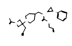 C=CCOC(=O)N(CC1CCN(C2(CC#N)CN(C(=O)O)C2)CC1)[C@@H]1C[C@H]1c1ccccc1